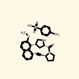 COc1ccc2ccccc2c1[C@@H]1CN[C@H](C(=O)N2CCC[C@H]2C#N)C1.Cc1ccc(S(=O)(=O)O)cc1